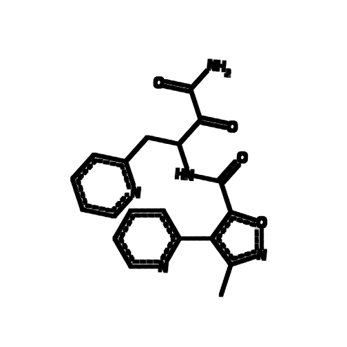 Cc1noc(C(=O)NC(Cc2ccccn2)C(=O)C(N)=O)c1-c1ccccn1